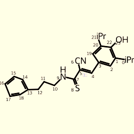 CC(C)c1cc(/C=C(\C#N)C(=S)NCCCc2ccccc2)cc(C(C)C)c1O